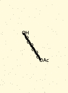 CC(=O)OCCOCCOCCOCCOCCOCCOCCCO